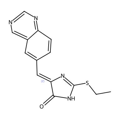 CCSC1=N/C(=C\c2ccc3ncncc3c2)C(=O)N1